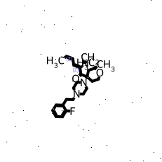 C=N/C(=C\C=C/C)C(=O)C1(N2CCN(CCc3ccccc3F)CC2)CCOC(C)(C)C1